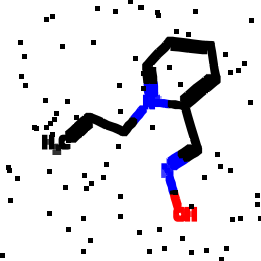 C=CC[n+]1ccccc1/C=N/O